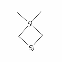 C[Si]1(C)C[Si]C1